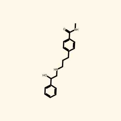 CNC(=O)c1ccc(CCCNCC(O)c2ccccc2)cc1